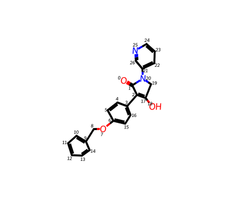 O=C1C(c2ccc(OCc3ccccc3)cc2)=C(O)CN1c1cccnc1